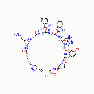 NCCCC[C@@H]1NC(=O)CCCCn2cc(nn2)CCC[C@@H](C(N)=O)NC(=O)[C@@H]2CCCN2C(=O)[C@H](Cc2ccc(O)cc2)NC(=O)[C@H](Cc2c[nH]cn2)NC(=O)[C@H](CC(=O)O)NC(=O)[C@H](Cc2c[nH]c3ccc(F)cc23)NC(=O)[C@H](Cc2c[nH]c3ccc(F)cc23)NC(=O)CNC1=O